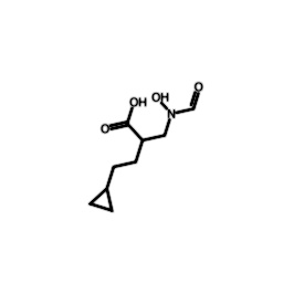 O=CN(O)CC(CCC1CC1)C(=O)O